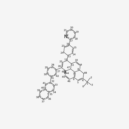 CC(C)(C)C1=CC2=C3C(C=CC4C(C5C=CC(c6ccccn6)=CC5)C=C(c5cccc(-c6ccc7ccccc7c6)c5)[C@@](C)(C=C2)C34)C1